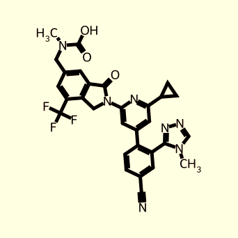 CN(Cc1cc2c(c(C(F)(F)F)c1)CN(c1cc(-c3ccc(C#N)cc3-c3nncn3C)cc(C3CC3)n1)C2=O)C(=O)O